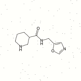 O=C(NCc1cnco1)C1CCCNC1